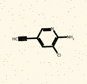 C#Cc1cnc(N)c(Cl)c1